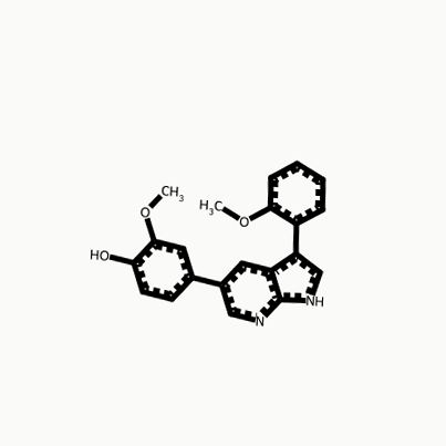 COc1cc(-c2cnc3[nH]cc(-c4ccccc4OC)c3c2)ccc1O